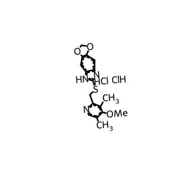 COc1c(C)cnc(CSc2nc3cc4c(cc3[nH]2)OCO4)c1C.Cl.Cl